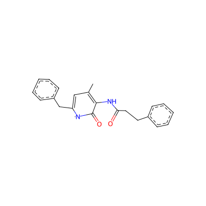 CC1=C(NC(=O)CCc2ccccc2)C(=O)[N]C(Cc2ccccc2)=C1